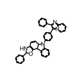 C1=CC2C(C3=C1NC(c1ccccc1)O3)c1ccccc1N2c1ccc(-c2c(-c3ccccc3)nc3ccccn23)cc1